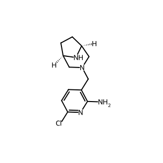 Nc1nc(Cl)ccc1CN1C[C@H]2CC[C@@H](C1)N2